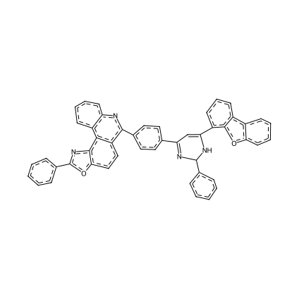 C1=C(c2cccc3c2oc2ccccc23)NC(c2ccccc2)N=C1c1ccc(-c2nc3ccccc3c3c2ccc2oc(-c4ccccc4)nc23)cc1